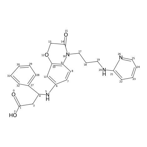 O=C(O)CC(Nc1ccc2c(c1)OCC(=O)N2CCCNc1ccccn1)c1ccccc1